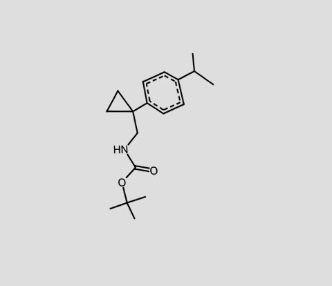 CC(C)c1ccc(C2(CNC(=O)OC(C)(C)C)CC2)cc1